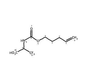 C=CCCCOC(=O)NC(C(=O)O)C(F)(F)F